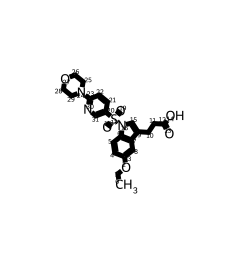 CCOc1ccc2c(c1)c(CCC(=O)O)cn2S(=O)(=O)c1ccc(N2CCOCC2)nc1